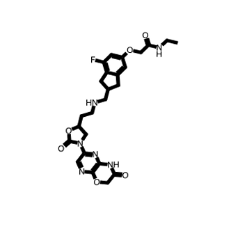 CCNC(=O)COc1cc(F)c2c(c1)CC(CNCCC1CN(c3cnc4c(n3)NC(=O)CO4)C(=O)O1)C2